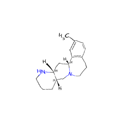 Cc1ccc2c(c1)[C@H]1C[C@H]3NCCC[C@H]3CN1CC2